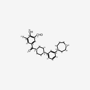 O=Cc1cc(C(=O)N2CCN(c3cccc(N4CCCOCC4)c3)CC2)cc(F)c1O